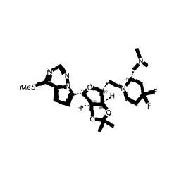 CSc1ncnn2c([C@@H]3O[C@H](CN4CCC(F)(F)C[C@H]4CN(C)C)[C@H]4OC(C)(C)O[C@H]43)ccc12